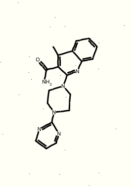 Cc1c(C(N)=O)c(N2CCN(c3ncccn3)CC2)nc2cc[c]cc12